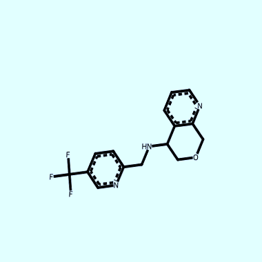 FC(F)(F)c1ccc(CNC2COCc3ncccc32)nc1